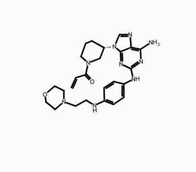 C=CC(=O)N1CCC[C@H](n2cnc3c(N)nc(Nc4ccc(NCCN5CCOCC5)cc4)nc32)C1